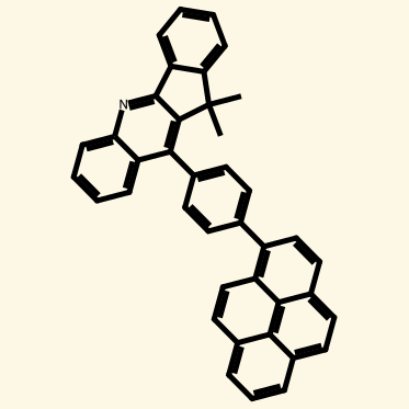 CC1(C)c2ccccc2-c2nc3ccccc3c(-c3ccc(-c4ccc5ccc6cccc7ccc4c5c67)cc3)c21